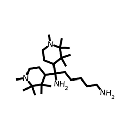 CN1CCC(C(N)(CCCCCN)C2CCN(C)C(C)(C)C2(C)C)C(C)(C)C1(C)C